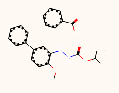 COc1ccc(-c2ccccc2)cc1NNC(=O)OC(C)C.O=C(O)c1ccccc1